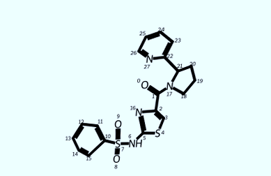 O=C(c1csc(NS(=O)(=O)c2ccccc2)n1)N1CCCC1c1ccccn1